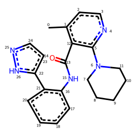 Cc1ccnc(N2CCCCC2)c1C(=O)Nc1ccccc1-c1ccn[nH]1